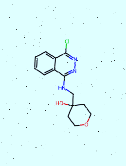 OC1(CNc2nnc(Cl)c3ccccc23)CCOCC1